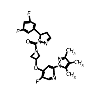 Cc1nn(-c2cc(OC3CN(C(=O)N4N=CCC4c4cc(F)cc(F)c4)C3)c(F)cn2)c(C)c1C